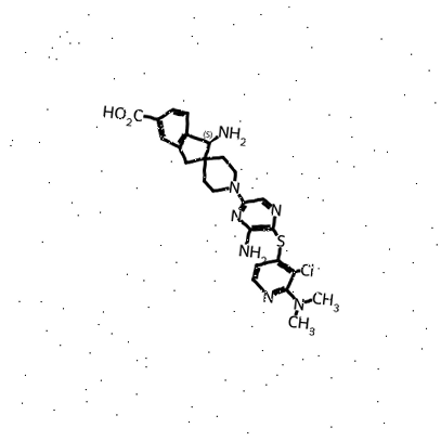 CN(C)c1nccc(Sc2ncc(N3CCC4(CC3)Cc3cc(C(=O)O)ccc3[C@H]4N)nc2N)c1Cl